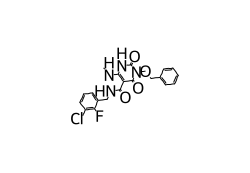 CNc1[nH]c(=O)n(OCc2ccccc2)c(=O)c1C(=O)NCc1cccc(Cl)c1F